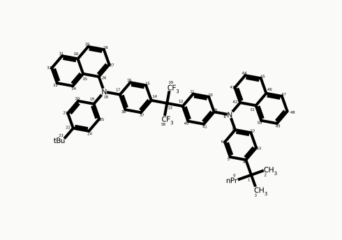 CCCC(C)(C)c1ccc(N(c2ccc(C(c3ccc(N(c4ccc(C(C)(C)C)cc4)c4cccc5ccccc45)cc3)(C(F)(F)F)C(F)(F)F)cc2)c2cccc3ccccc23)cc1